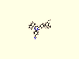 CC[C@@H]1C[C@@H]2C[C@H](C)CC(c3ccc(-c4cc(-c5cccc6ccccc56)nc(-c5ccc(C#N)cc5)n4)cc3)(C1)C2